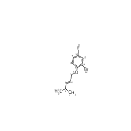 CC(C)/C=C/COc1ccc(F)cc1Br